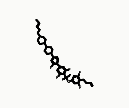 C=CCCc1c(F)cc(OC(F)(F)c2c(F)cc(-c3ccc(C4CCC(C5CCC(CC/C=C/C)CC5)CC4)cc3F)cc2F)cc1F